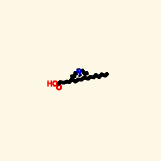 C=CC[N+](C)(C)CC=C.CCCCCCCCCCCCCCCCCC(=O)O